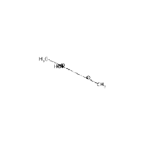 CCCCCCCCCCCCCCCC[C@H](O)CNC(=O)CCCCCCCCCCCCCCCCCCCCCCCCCCCCCC(=O)CCCCCCCCCCCCC